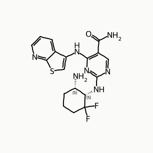 NC(=O)c1cnc(N[C@H]2[C@@H](N)CCCC2(F)F)nc1Nc1csc2ncccc12